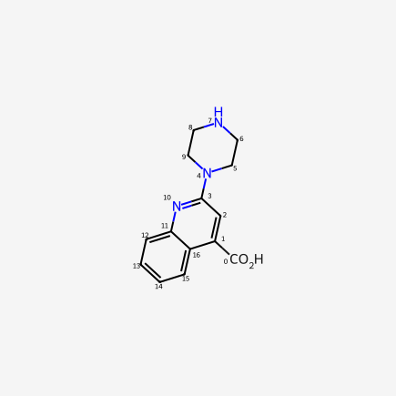 O=C(O)c1cc(N2CCNCC2)nc2ccccc12